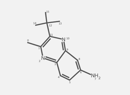 Cc1nc2ccc(N)cc2nc1C(C)(C)C